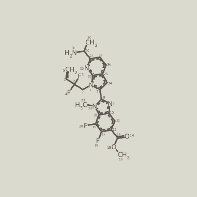 C=CC(F)(F)Cn1c(-c2nc3cc(C(=O)OC)c(F)c(F)c3n2C)cc2ccc(C(C)N)nc21